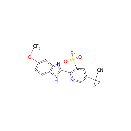 CCS(=O)(=O)c1cc(C2(C#N)CC2)cnc1-c1nc2cc(OC(F)(F)F)ccc2[nH]1